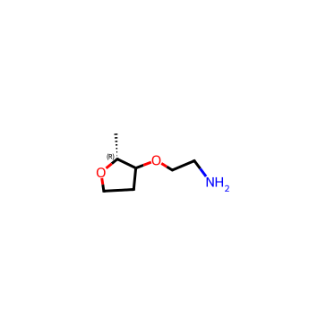 C[C@H]1OCCC1OCCN